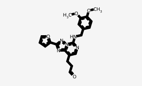 COc1ccc(CNc2ncc(CCC=O)c3nc(-c4ccco4)nn23)cc1OC